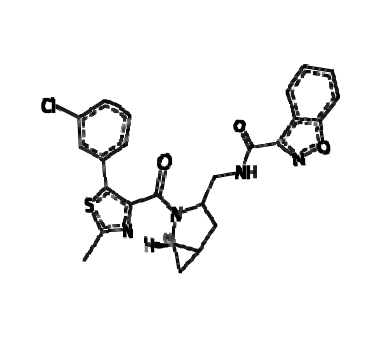 Cc1nc(C(=O)N2C(CNC(=O)c3noc4ccccc34)CC3C[C@@H]32)c(-c2cccc(Cl)c2)s1